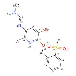 CCN(C)/C=N/c1cc(Br)c(OCc2ccccc2S(C)(=O)=O)nc1C